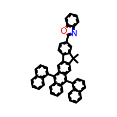 CC1(C)c2cc(-c3nc4ccccc4o3)ccc2-c2cc3c(-c4cccc5ccccc45)c4ccccc4c(-c4cccc5ccccc45)c3cc21